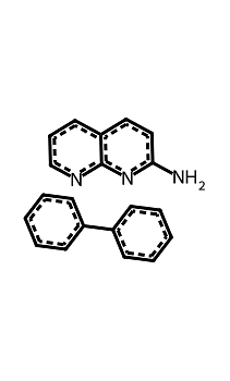 Nc1ccc2cccnc2n1.c1ccc(-c2ccccc2)cc1